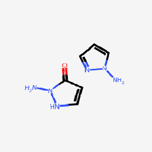 Nn1[nH]ccc1=O.Nn1cccn1